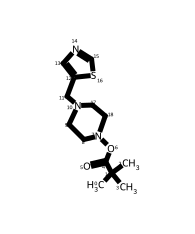 CC(C)(C)C(=O)ON1CCN(Cc2cncs2)CC1